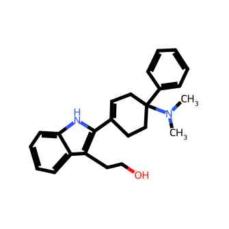 CN(C)C1(c2ccccc2)CC=C(c2[nH]c3ccccc3c2CCO)CC1